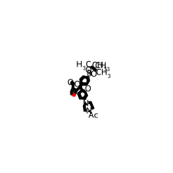 CC(=O)N1CCN(c2ccc3c(c2)Oc2cc(B4OC(C)(C)C(C)(C)O4)ccc2C32OC(=O)c3ccccc32)CC1